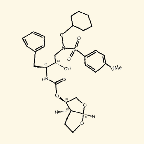 COc1ccc(S(=O)(=O)N(C[C@H](O)[C@H](Cc2ccccc2)NC(=O)O[C@H]2CO[C@H]3OCC[C@H]32)OC2CCCCC2)cc1